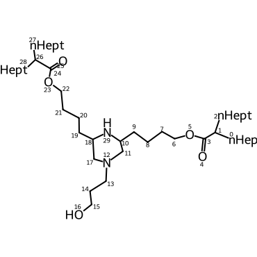 CCCCCCCC(CCCCCCC)C(=O)OCCCCC1CN(CCCO)CC(CCCCOC(=O)C(CCCCCCC)CCCCCCC)N1